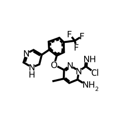 CC1=CC(N)N(C(=N)Cl)N=C1Oc1cc(C(F)(F)F)ccc1C1=CN=CNC1